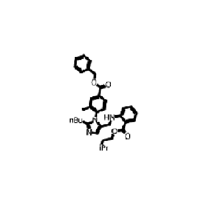 CCCCc1ncc(CNc2ccccc2C(=O)OCCC(C)C)n1-c1ccc(C(=O)OCc2ccccc2)cc1C